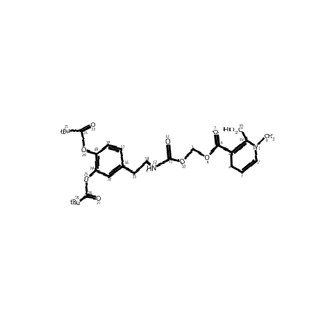 CN1C=CCC(C(=O)OCOC(=O)NCCc2ccc(OC(=O)C(C)(C)C)c(OC(=O)C(C)(C)C)c2)=C1C(=O)O